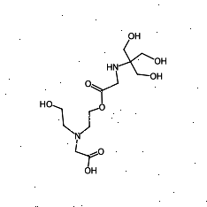 O=C(O)CN(CCO)CCOC(=O)CNC(CO)(CO)CO